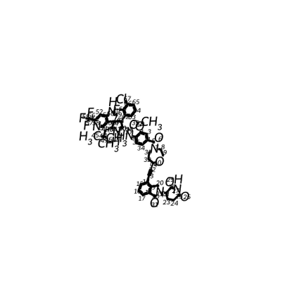 COc1cc(C(=O)N2CCO[C@@H](C#Cc3cccc4c3CN([C@H]3CCC(=O)NC3=O)C4=O)CC2)ccc1NC(=O)[C@@H]1N[C@@H](CC(C)(C)C)[C@@]2(CNc3cc(C(F)(F)F)ncc32)[C@H]1c1cccc(Cl)c1F